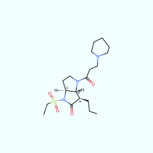 CCC[C@H]1C(=O)N(S(=O)(=O)CC)[C@H]2CCN(C(=O)CCN3CCCCC3)[C@H]12